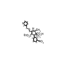 CCOC(=O)C1=C(COCc2cccnc2)NC(C)C(C)(C(=O)O)C1c1cccc([N+](=O)[O-])c1